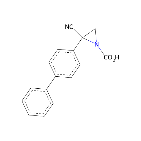 N#CC1(c2ccc(-c3ccccc3)cc2)CN1C(=O)O